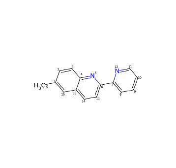 Cc1ccc2nc(-c3ccccn3)ccc2c1